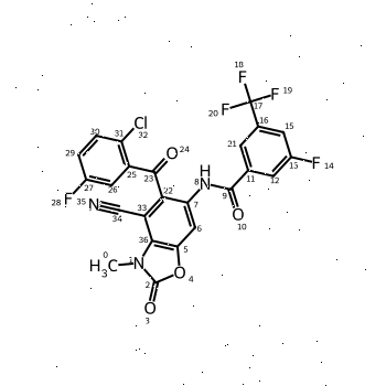 Cn1c(=O)oc2cc(NC(=O)c3cc(F)cc(C(F)(F)F)c3)c(C(=O)c3cc(F)ccc3Cl)c(C#N)c21